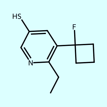 CCc1ncc(S)cc1C1(F)CCC1